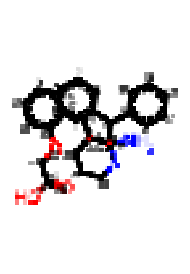 NC1(C(c2ccccc2)c2ccccc2)C(Cc2ccccc2OCC(=O)O)C2CCN1CC2